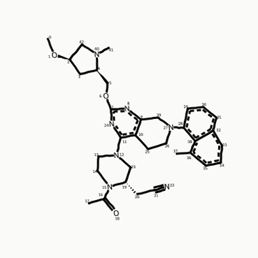 CO[C@@H]1C[C@H](COc2nc3c(c(N4CCN(C(C)=O)[C@@H](CC#N)C4)n2)CCN(c2cccc4cccc(C)c24)C3)N(C)C1